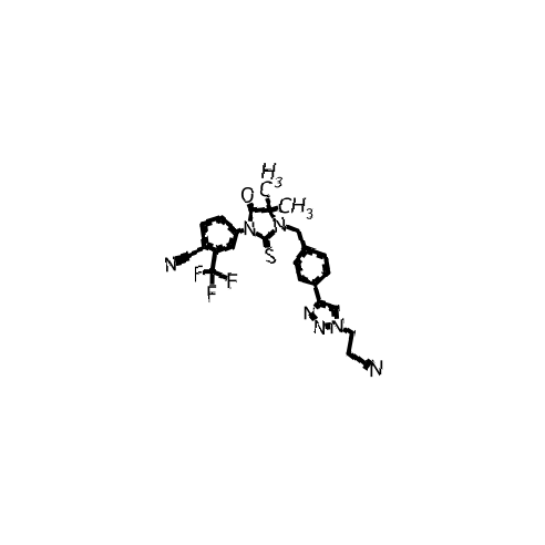 CC1(C)C(=O)N(c2ccc(C#N)c(C(F)(F)F)c2)C(=S)N1Cc1ccc(-c2cn(CCC#N)nn2)cc1